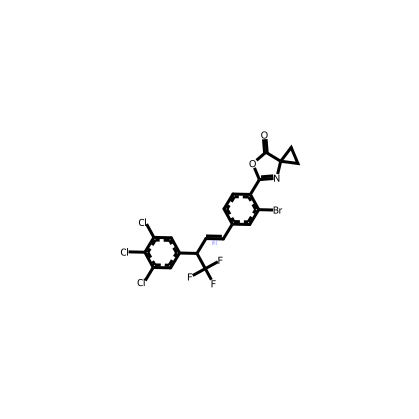 O=C1OC(c2ccc(/C=C/C(c3cc(Cl)c(Cl)c(Cl)c3)C(F)(F)F)cc2Br)=NC12CC2